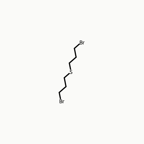 BrCCCSCCCBr